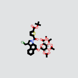 COC(=O)[C@H]1O[C@@H](Oc2cc3c(c4ccccc24)C(CCl)CN3C(=O)c2ccc(C(=O)OC(C)(C)C)s2)[C@H](OC(C)=O)[C@@H](OC(C)=O)[C@@H]1OC(C)=O